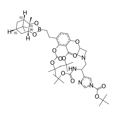 CC(C)(C)OC(=O)NC(CN1CC(Oc2ccc(CCB3O[C@@H]4C[C@@H]5C[C@@H](C5(C)C)[C@]4(C)O3)c(OC(=O)OC(C)(C)C)c2C(=O)OC(C)(C)C)C1)c1cn(C(=O)OC(C)(C)C)cn1